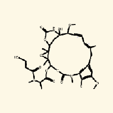 COc1cc2cc(c1Cl)N(C)C(=O)CC(OC(=O)C(C)N(C)C(=O)CCS)C1(C)OC1(C)C1CC(O)(NC(=O)O1)C(OC)/C=C/C=C(\C)C2